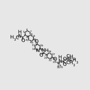 CNC(=O)c1cccc2cc(Oc3ccnc(NC(=O)c4ccc(OCC5(NC(=O)OC(C)(C)C)CC5)cc4)c3)ccc12